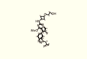 COc1nc(NC2CC(OCCO)C2)nn2cc(F)c(-c3ccc4nnn(CC(F)F)c4c3)c12